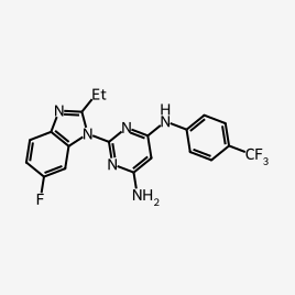 CCc1nc2ccc(F)cc2n1-c1nc(N)cc(Nc2ccc(C(F)(F)F)cc2)n1